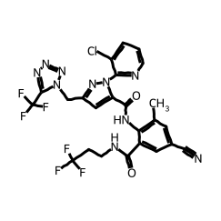 Cc1cc(C#N)cc(C(=O)NCCC(F)(F)F)c1NC(=O)c1cc(Cn2nnnc2C(F)(F)F)nn1-c1ncccc1Cl